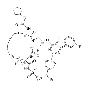 CC(C)Oc1ccc(-c2nc(O[C@@H]3C[C@H]4C(=O)N[C@]5(C(=O)NS(=O)(=O)C6CC6)C[C@H]5/C=C\CCCCC[C@H](NC(=O)OC5CCCC5)C(=O)N4C3)c3oc4ccc(F)cc4c3n2)cc1